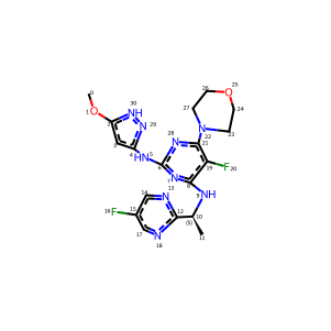 COc1cc(Nc2nc(N[C@@H](C)c3ncc(F)cn3)c(F)c(N3CCOCC3)n2)n[nH]1